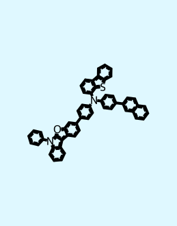 c1ccc(-n2c3ccccc3c3c4ccc(-c5ccc(N(c6ccc(-c7ccc8ccccc8c7)cc6)c6cccc7c6sc6ccccc67)cc5)cc4oc32)cc1